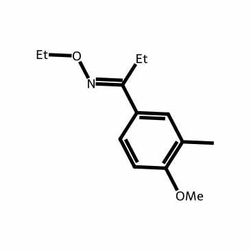 [CH]Oc1ccc(C(CC)=NOCC)cc1C